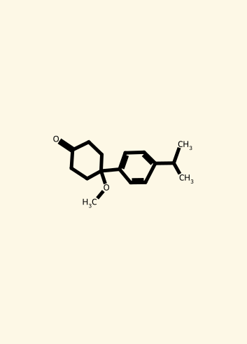 COC1(c2ccc(C(C)C)cc2)CCC(=O)CC1